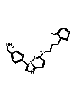 NCc1ccc(-c2cnc3ccc(NCCCc4ccccc4F)nn23)cc1